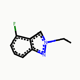 CCn1cc2c(F)cccc2n1